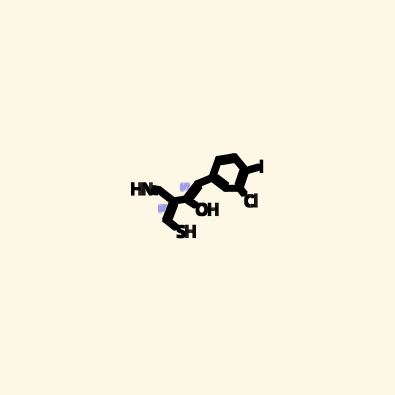 N=CC(=C/S)/C(O)=C/c1ccc(I)c(Cl)c1